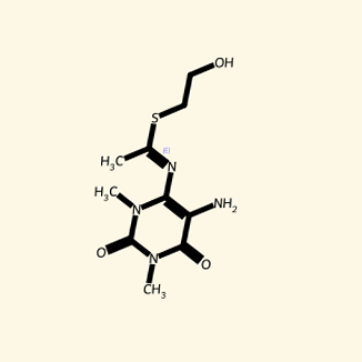 C/C(=N\c1c(N)c(=O)n(C)c(=O)n1C)SCCO